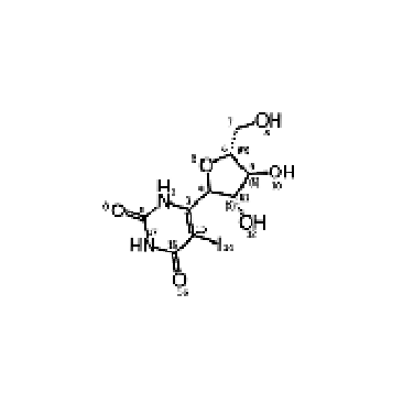 O=c1[nH]c(C2O[C@H](CO)[C@@H](O)[C@@H]2O)c(I)c(=O)[nH]1